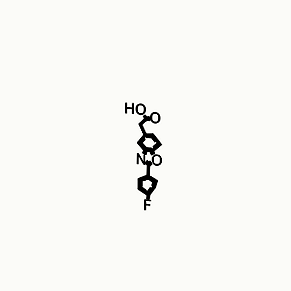 O=C(O)Cc1ccc2oc(-c3ccc(F)cc3)nc2c1